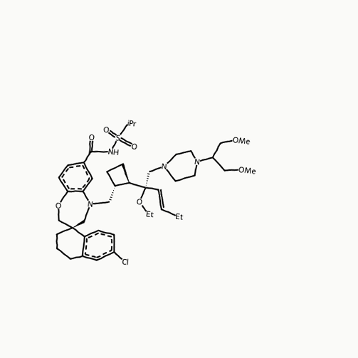 CC/C=C/[C@@](CN1CCN(C(COC)COC)CC1)(OCC)[C@@H]1CC[C@H]1CN1C[C@@]2(CCCc3cc(Cl)ccc32)COc2ccc(C(=O)NS(=O)(=O)C(C)C)cc21